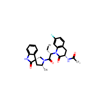 CC(C)C[C@@H](C(=O)N1C[C@]2(C[C@H]1C#N)C(=O)Nc1ccccc12)N1C(=O)[C@@H](NC(=O)C(F)(F)F)Cc2ccc(F)cc21